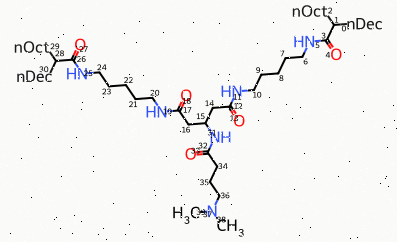 CCCCCCCCCCC(CCCCCCCC)C(=O)NCCCCCNC(=O)CC(CC(=O)NCCCCCNC(=O)C(CCCCCCCC)CCCCCCCCCC)NC(=O)CCCN(C)C